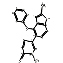 Cc1nc2c(Oc3ccccc3)c(-c3ccc(=O)n(C)c3)ccc2s1